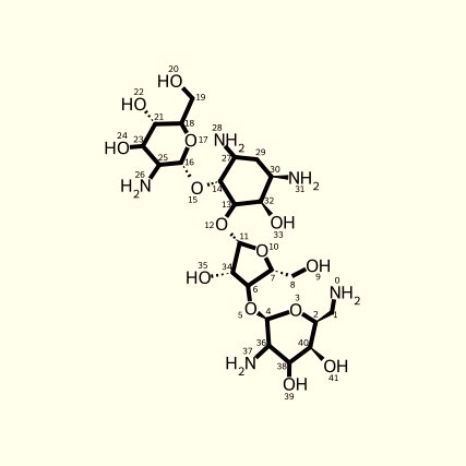 NC[C@@H]1O[C@H](OC2[C@@H](CO)O[C@@H](OC3[C@H](O[C@H]4OC(CO)[C@@H](O)C(O)C4N)C(N)C[C@@H](N)[C@H]3O)[C@H]2O)C(N)C(O)[C@@H]1O